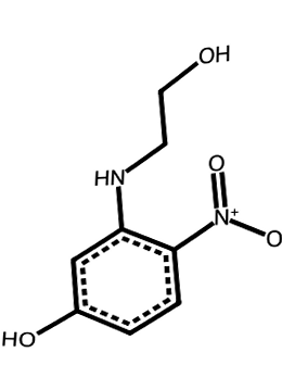 O=[N+]([O-])c1ccc(O)cc1NCCO